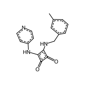 Cc1cccc(CNc2c(Nc3ccncc3)c(=O)c2=O)c1